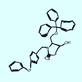 O=C1CC(O)C(COC(c2ccccc2)(c2ccccc2)c2ccccc2)N1Cc1ccc(Oc2ccccc2)cc1